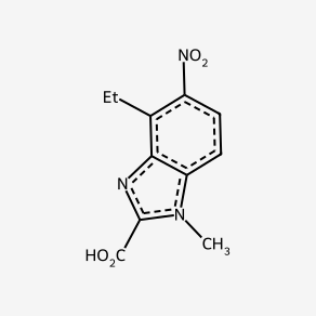 CCc1c([N+](=O)[O-])ccc2c1nc(C(=O)O)n2C